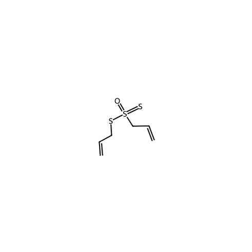 C=CCSS(=O)(=S)CC=C